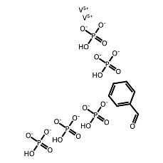 O=Cc1ccccc1.O=P([O-])([O-])O.O=P([O-])([O-])O.O=P([O-])([O-])O.O=P([O-])([O-])O.O=P([O-])([O-])O.[V+5].[V+5]